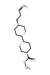 C=CCC[C@H]1CC[C@H]([C@H]2CC[C@H](C(=O)OC)CC2)CC1